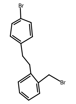 BrCc1ccccc1CCc1ccc(Br)cc1